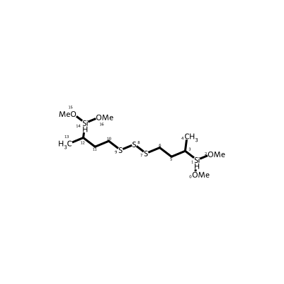 CO[SiH](OC)C(C)CCSSSCCC(C)[SiH](OC)OC